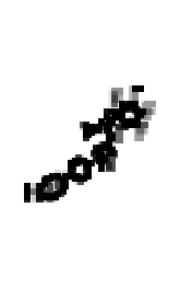 Fc1c(F)c(F)c(SN(Cc2cnn(-c3ccc(N4CCNCC4)cc3)c2)C2CC2)c(F)c1F